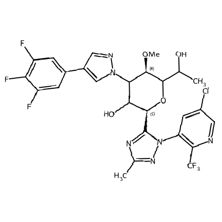 CO[C@H]1C(C(C)O)O[C@@H](c2nc(C)nn2-c2cc(Cl)cnc2C(F)(F)F)C(O)C1n1cc(-c2cc(F)c(F)c(F)c2)cn1